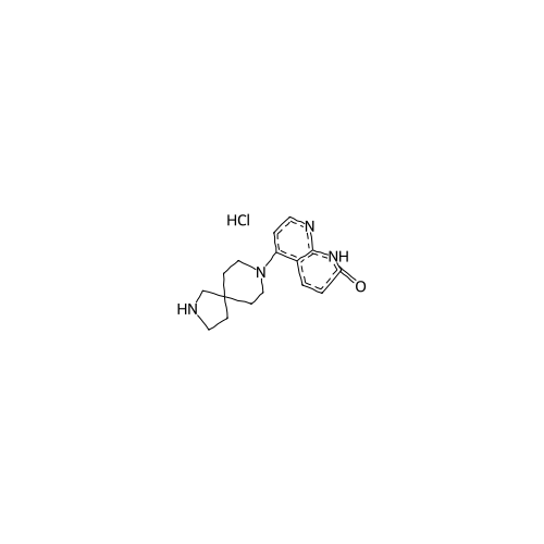 Cl.O=c1ccc2c(N3CCC4(CCNC4)CC3)ccnc2[nH]1